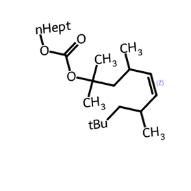 CCCCCCCOC(=O)OC(C)(C)CC(C)/C=C\C(C)CC(C)(C)C